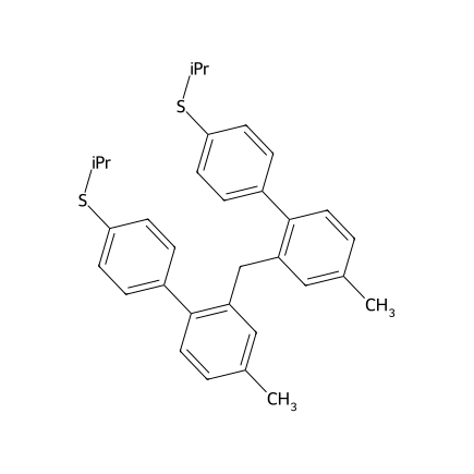 Cc1ccc(-c2ccc(SC(C)C)cc2)c(Cc2cc(C)ccc2-c2ccc(SC(C)C)cc2)c1